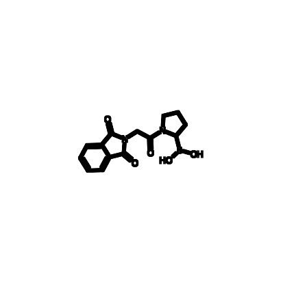 O=C1c2ccccc2C(=O)N1CC(=O)N1CCCC1B(O)O